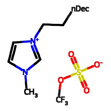 CCCCCCCCCCCC[n+]1ccn(C)c1.O=S(=O)([O-])OC(F)(F)F